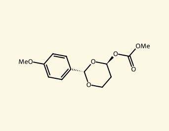 COC(=O)O[C@H]1CCO[C@H](c2ccc(OC)cc2)O1